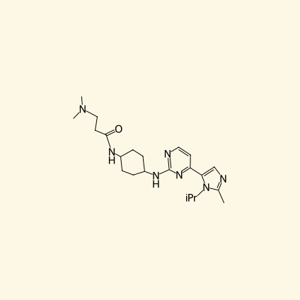 Cc1ncc(-c2ccnc(NC3CCC(NC(=O)CCN(C)C)CC3)n2)n1C(C)C